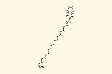 CCCCCCCCCCCCCCCCCCCCCCCCCCCCOCc1cc2ccccc2o1